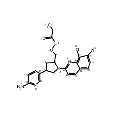 CCC(=O)OOCC1CC(c2ccc(N)nc2)CN1c1ccc2ccc(Cl)c(Cl)c2n1